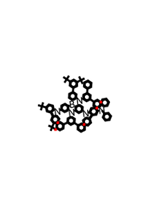 CC(C)(C)c1cc(-c2ccc3c(c2)N(c2cc(-c4ccccc4)cc(-c4ccccc4)c2)c2cc(-n4c5ccccc5c5cc(N(c6ccccc6)c6ccccc6)ccc54)cc4c2B3c2ccc(-n3c5ccc(C(C)(C)C)cc5c5cc(C(C)(C)C)ccc53)cc2N4c2cc(-c3ccccc3)cc(-c3ccccc3)c2)cc(C(C)(C)C)c1